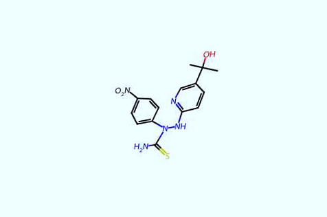 CC(C)(O)c1ccc(NN(C(N)=S)c2ccc([N+](=O)[O-])cc2)nc1